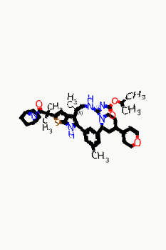 Cc1cc2cc(c1)C1CC(C3CCOCC3)CCN1/C(=N\C(=O)OC(C)C)NC[C@@H](C)c1c-2[nH]c2sc(C(C)(C)C(=O)N3C4CCC3CC4)cc12